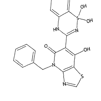 O=c1c(C2=NS(O)(O)c3ccccc3N2)c(O)c2scnc2n1Cc1ccccc1